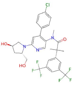 CN(C(=O)C(C)(C)c1cc(C(F)(F)F)cc(C(F)(F)F)c1)c1cnc(N2C[C@H](O)C[C@H]2CO)cc1-c1ccc(Cl)cc1